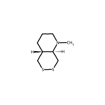 CN1CCC[C@H]2CSSC[C@@H]21